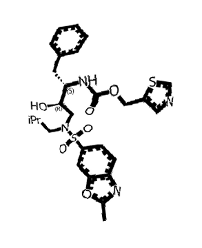 Cc1nc2ccc(S(=O)(=O)N(CC(C)C)C[C@@H](O)[C@H](Cc3ccccc3)NC(=O)OCc3cncs3)cc2o1